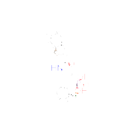 O=C(N[C@H](CCP(=O)(O)O)Cc1cccc(F)c1)c1cc2ccccc2s1